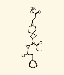 CCC(=Cc1ccccc1)C1CC1N(C(=O)C(F)(F)F)C1CC2(CCN(CCC(=O)OC(C)(C)C)CC2)C1